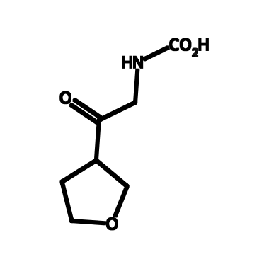 O=C(O)NCC(=O)C1CCOC1